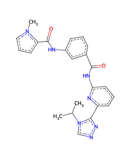 CC(C)n1cnnc1-c1cccc(NC(=O)c2cccc(NC(=O)c3cccn3C)c2)n1